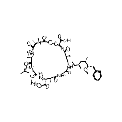 CO[C@@H](Cc1ccccc1)[C@@H](C)CC(C)CC[C@@H]1NC(=O)[C@H](C)NC(=O)[C@@H](C)[C@H](C(=O)O)NC(=O)[C@H](CC(C)C)NC(=O)[C@@H](C)NC(=O)[C@H](C)N(C)C(=O)CC/C(C(=O)O)=N\C(=O)[C@H]1C